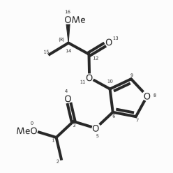 COC(C)C(=O)Oc1cocc1OC(=O)[C@@H](C)OC